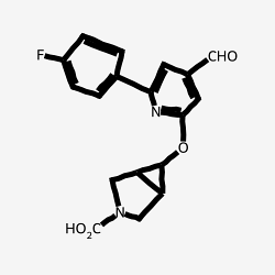 O=Cc1cc(OC2C3CN(C(=O)O)CC32)nc(-c2ccc(F)cc2)c1